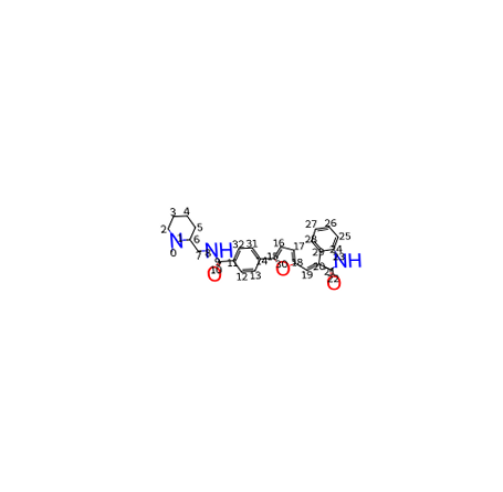 CN1CCCCC1CNC(=O)c1ccc(-c2ccc(/C=C3/C(=O)Nc4ccccc43)o2)cc1